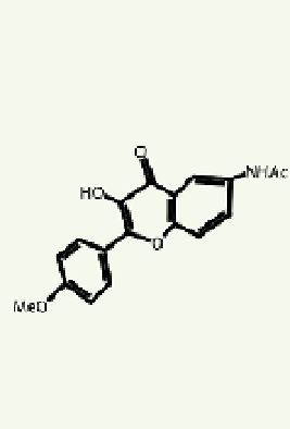 COc1ccc(-c2oc3ccc(NC(C)=O)cc3c(=O)c2O)cc1